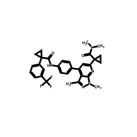 CN(C)C(=O)C1(c2cc(-c3ccc(NC(=O)C4(c5cccc(C(F)(F)F)c5)CC4)cc3)c3c(N)nn(C)c3n2)CC1